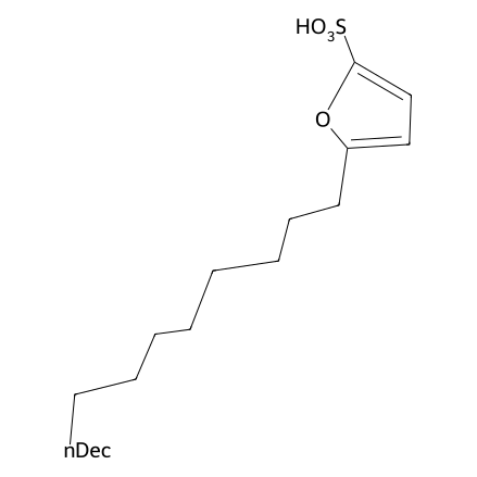 CCCCCCCCCCCCCCCCCCc1ccc(S(=O)(=O)O)o1